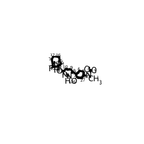 Cn1c(=O)oc2cc(-c3ccc(O[C@H]4CC5CCCC(N5)[C@H]4F)nn3)c(O)cc21